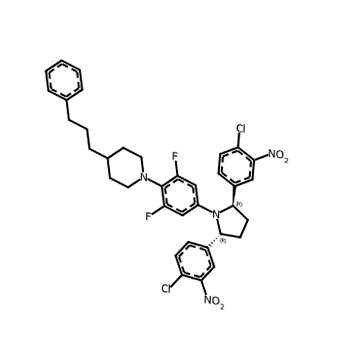 O=[N+]([O-])c1cc([C@H]2CC[C@H](c3ccc(Cl)c([N+](=O)[O-])c3)N2c2cc(F)c(N3CCC(CCCc4ccccc4)CC3)c(F)c2)ccc1Cl